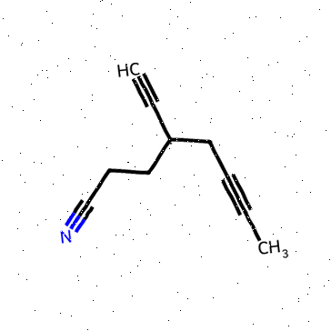 C#C[C](CC#CC)CCC#N